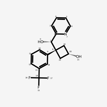 O[C@H](c1ccccn1)[C@]1(c2cccc(C(F)(F)F)c2)C[C@H](O)C1